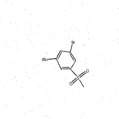 CC(C)(C)c1cc(Br)cc(S(C)(=O)=O)c1